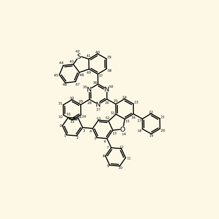 c1ccc(-c2cc(-c3ccccc3)c3oc4c(-c5ccccc5)ccc(-c5nc(-c6ccccc6)nc(-c6cccc7sc8ccccc8c67)n5)c4c3c2)cc1